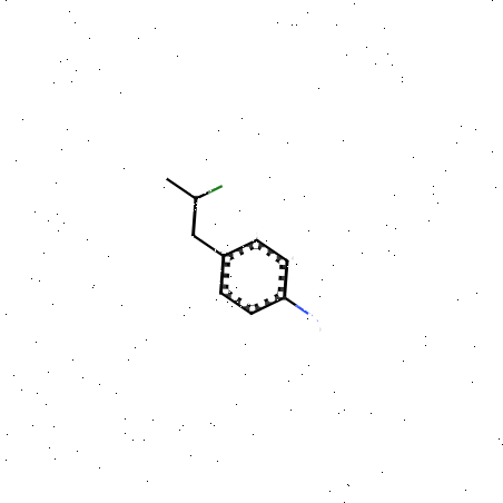 CC(Cl)Cc1ccc(N)cc1